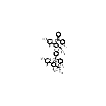 CC(C)(C)c1ccc(-c2ncc(Br)cc2F)c(O[SiH](c2ccccc2)c2ccccc2)c1.CC(C)(C)c1ccc(-c2ncc(O)cc2F)c(O[SiH](c2ccccc2)c2ccccc2)c1